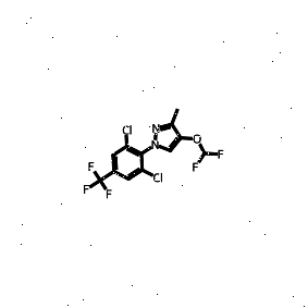 Cc1nn(-c2c(Cl)cc(C(F)(F)F)cc2Cl)cc1OC(F)F